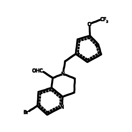 O=CC1c2cc(Br)cnc2CCN1Cc1cccc(OC(F)(F)F)c1